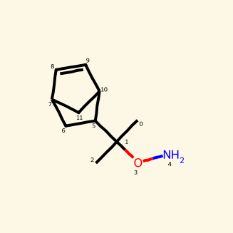 CC(C)(ON)C1CC2C=CC1C2